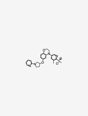 Cc1cc(N2CCOc3ccc(OC4CCN(c5ccccn5)C4)cc32)cnc1S(C)(=O)=O